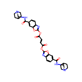 O=C(/C=C/C(=O)Oc1nc2ccc(C(=O)NC3CN4CCC3CC4)cc2o1)Oc1nc2ccc(C(=O)NC3CN4CCC3CC4)cc2o1